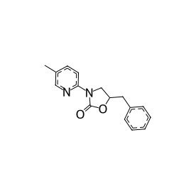 Cc1ccc(N2CC(Cc3ccccc3)OC2=O)nc1